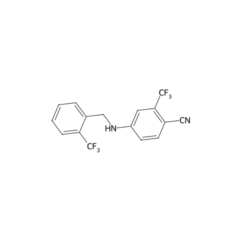 N#Cc1ccc(NCc2ccccc2C(F)(F)F)cc1C(F)(F)F